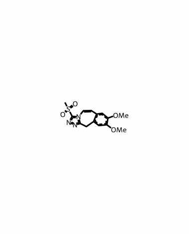 COc1cc2c(cc1OC)Cc1nnc(S(C)(=O)=O)n1C=C2